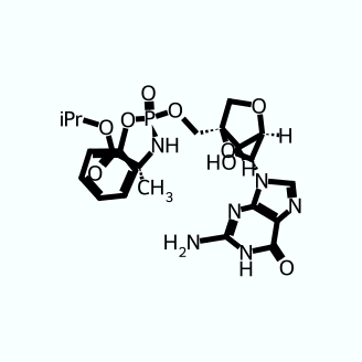 CC(C)OC(=O)[C@@H](C)N[P@@](=O)(OC[C@@]12CO[C@@H]([C@H](n3cnc4c(=O)[nH]c(N)nc43)O1)[C@@H]2O)Oc1ccccc1